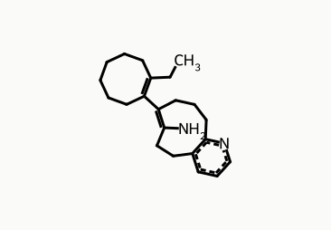 CC/C1=C(\C2=C(\N)CCc3cccnc3CCC2)CCCCCC1